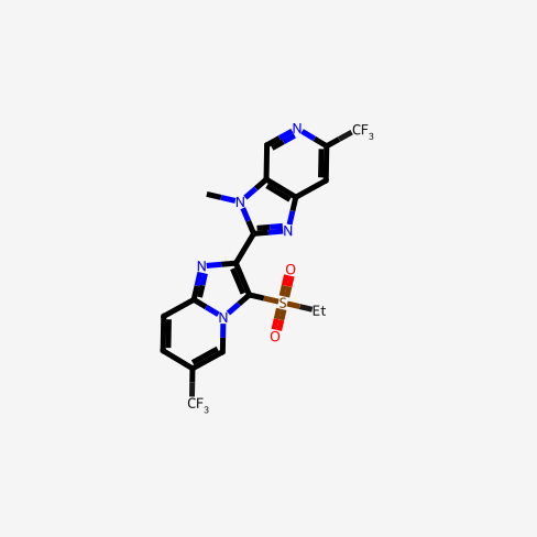 CCS(=O)(=O)c1c(-c2nc3cc(C(F)(F)F)ncc3n2C)nc2ccc(C(F)(F)F)cn12